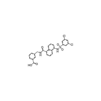 O=C(O)c1cccc(CNC(=O)c2cccc3c(NS(=O)(=O)c4cc(Cl)cc(Cl)c4)cccc23)c1